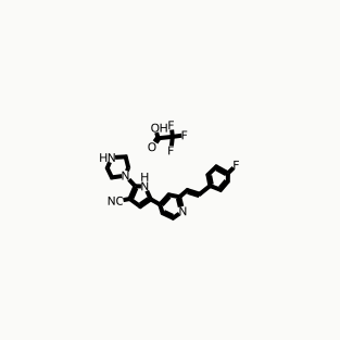 N#Cc1cc(-c2ccnc(/C=C/c3ccc(F)cc3)c2)[nH]c1N1CCNCC1.O=C(O)C(F)(F)F